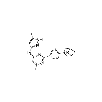 Cc1cc(Nc2cc(C)[nH]n2)nc(-c2ccc(N3CC4CC(C3)N4)nc2)n1